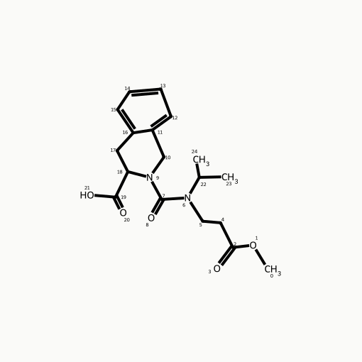 COC(=O)CCN(C(=O)N1Cc2ccccc2CC1C(=O)O)C(C)C